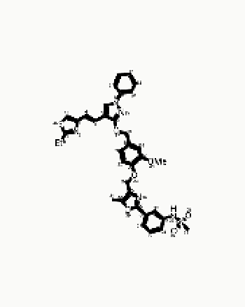 CCc1nc(C=Cc2cn(-c3ccccc3)nc2OCc2ccc(OCc3nc(-c4cccc(NS(C)(=O)=O)c4)oc3C)c(OC)c2)cs1